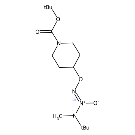 CN(/[N+]([O-])=N/OC1CCN(C(=O)OC(C)(C)C)CC1)C(C)(C)C